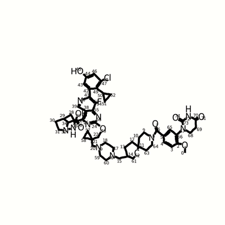 COc1ccc(C(=O)N2CCC3(CCC(CN4CCN(CC5(COc6nc(C7CC8CCN(N7)C8C(=O)O)c7cnc(-c8cc(O)cc(Cl)c8C8CC8)c(F)c7n6)CC5)CC4)CC3)CC2)cc1N1CCC(=O)NC1=O